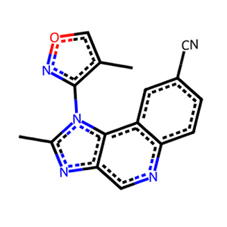 Cc1conc1-n1c(C)nc2cnc3ccc(C#N)cc3c21